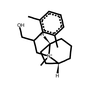 Cc1cccc(C)c1C(CO)C[N+]1(C)[C@@H]2CCC[C@H]1CC2